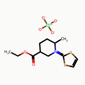 CCOC(=O)C1CCC(C)[N+](=c2sccs2)C1.[O-][Cl+3]([O-])([O-])[O-]